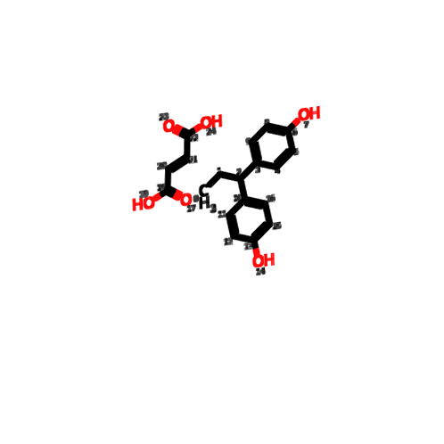 CCC(c1ccc(O)cc1)c1ccc(O)cc1.O=C(O)/C=C/C(=O)O